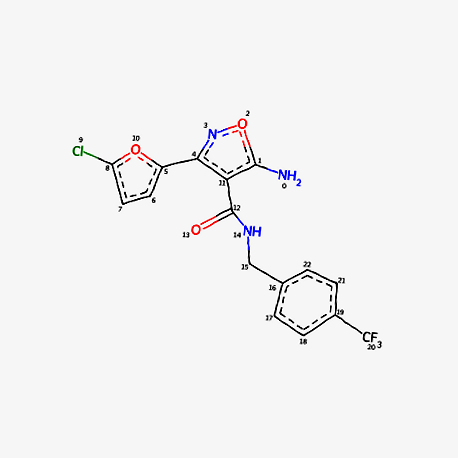 Nc1onc(-c2ccc(Cl)o2)c1C(=O)NCc1ccc(C(F)(F)F)cc1